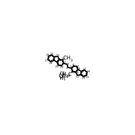 Cc1c(CCc2ccc3c(c2C)Cc2ccccc2-3)ccc2c1Cc1ccccc1-2.[Cl-].[Cl-].[Hf+2]